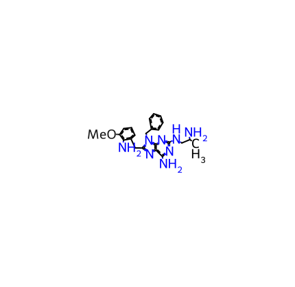 COc1cccc(Cc2nc3c(N)nc(NCC(C)N)nc3n2Cc2ccccc2)c1N